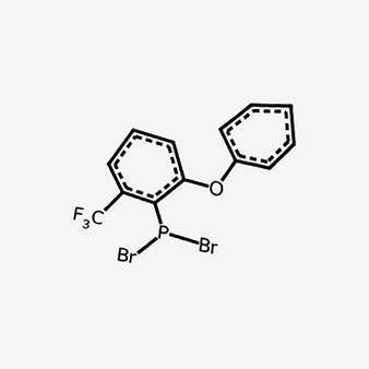 FC(F)(F)c1cccc(Oc2ccccc2)c1P(Br)Br